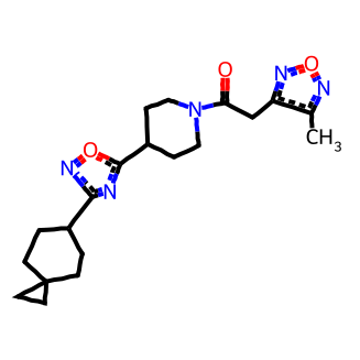 Cc1nonc1CC(=O)N1CCC(c2nc(C3CCC4(CC3)CC4)no2)CC1